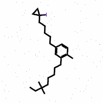 CCC(C)(C)CCCCCc1cc(CCCCCC2(I)CC2)ccc1C